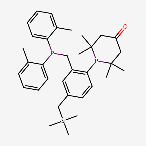 Cc1ccccc1P(Cc1cc(C[Si](C)(C)C)ccc1P1C(C)(C)CC(=O)CC1(C)C)c1ccccc1C